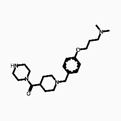 CN(C)CCCOc1ccc(CN2CCC(C(=O)N3CCNCC3)CC2)cc1